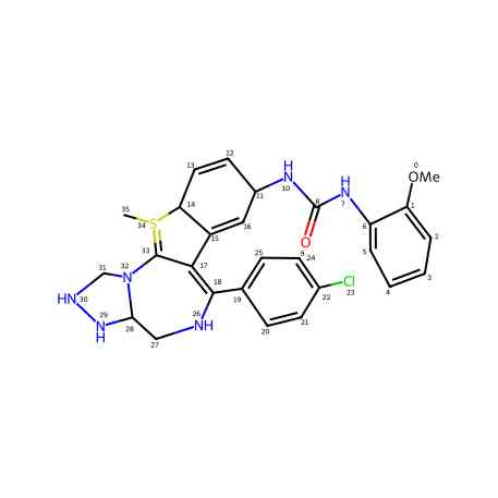 COc1ccccc1NC(=O)NC1C=CC2C(=C1)C1=C(c3ccc(Cl)cc3)NCC3NNCN3C1=S2C